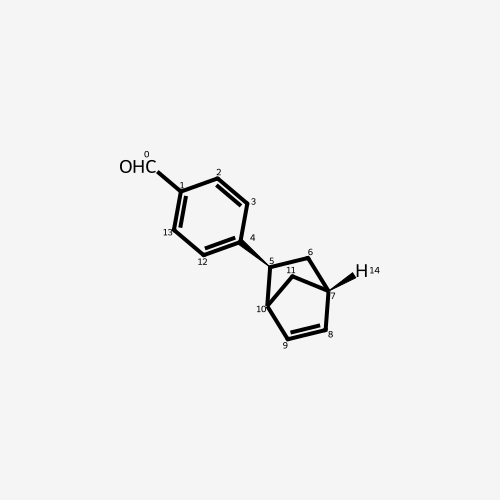 O=Cc1ccc([C@H]2C[C@@H]3C=CC2C3)cc1